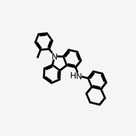 Cc1ccccc1-n1c2ccccc2c2c(Nc3cccc4c3CCCC4)cccc21